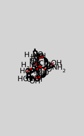 CC(C)C[C@H](N)C(=O)N[C@H]1C(=O)N[C@@H](CC(N)=O)C(=O)N[C@H]2C(=O)N[C@H]3C(=O)N[C@H](C(=O)N[C@H](C(=O)O)c4cc(O)cc(O)c4-c4cc3ccc4O)[C@H](O)c3ccc(c(Cl)c3)Oc3cc2cc(c3OC2C[C@](C)(N)[C@H](O)[C@H](C)O2)Oc2ccc(cc2Cl)[C@H]1O